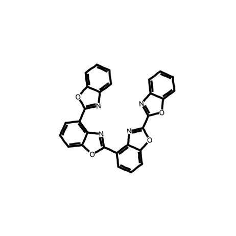 c1ccc2oc(-c3nc4c(-c5nc6c(-c7nc8ccccc8o7)cccc6o5)cccc4o3)nc2c1